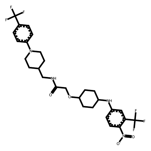 O=C(COC1CCC(Nc2ccc([N+](=O)[O-])c(C(F)(F)F)c2)CC1)NCC1CCN(c2ccc(C(F)(F)F)cc2)CC1